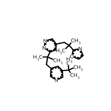 CC(C)(C)c1cncc(CC(C)(C)c2cc(CC(C)(C)c3ncco3)cnn2)c1